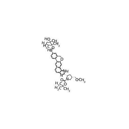 COC[C@H]1C[C@@H](c2nc3ccc4cc5c(cc4c3[nH]2)OCc2cc(BOC(C)(C)C(C)(C)O)ccc2-5)N(C(=O)OC(C)(C)C)C1